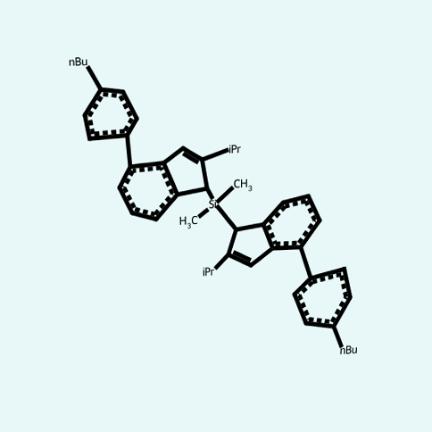 CCCCc1ccc(-c2cccc3c2C=C(C(C)C)C3[Si](C)(C)C2C(C(C)C)=Cc3c(-c4ccc(CCCC)cc4)cccc32)cc1